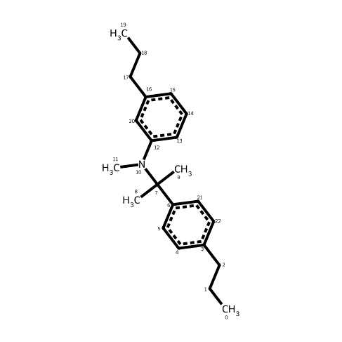 CCCc1ccc(C(C)(C)N(C)c2cccc(CCC)c2)cc1